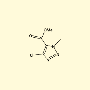 COC(=O)c1c(Cl)nnn1C